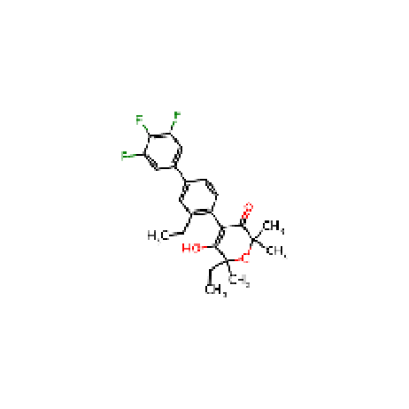 CCc1cc(-c2cc(F)c(F)c(F)c2)ccc1C1=C(O)C(C)(CC)OC(C)(C)C1=O